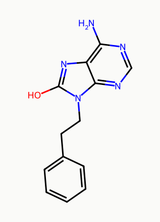 Nc1ncnc2c1nc(O)n2CCc1ccccc1